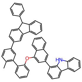 Cc1ccc(-c2ccc3c(c2)-c2ccccc2C3c2ccccc2)cc1-c1ccccc1Oc1cc(-c2cccc3c2[nH]c2ccccc23)cc2ccccc12